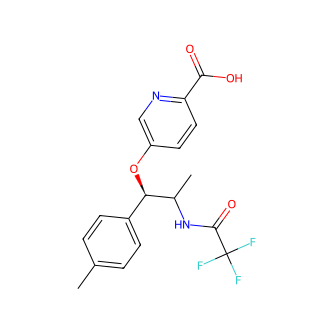 Cc1ccc([C@@H](Oc2ccc(C(=O)O)nc2)C(C)NC(=O)C(F)(F)F)cc1